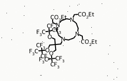 CCOC(=O)CN1CCN(CC(=O)OCC)CCN(CC(COC(C(F)(F)F)(C(F)(F)F)C(F)(F)F)(COC(C(F)(F)F)(C(F)(F)F)C(F)(F)F)COC(C(F)(F)F)(C(F)(F)F)C(F)(F)F)CCN(CC(=O)OCC)CC1